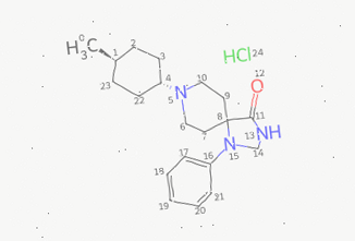 C[C@H]1CC[C@H](N2CCC3(CC2)C(=O)NCN3c2ccccc2)CC1.Cl